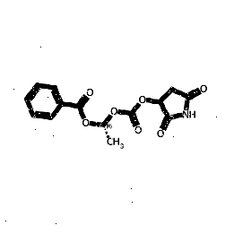 C[C@@H](OC(=O)OC1CC(=O)NC1=O)OC(=O)c1ccccc1